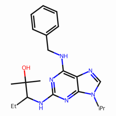 CCC(Nc1nc(NCc2ccccc2)c2ncn(C(C)C)c2n1)C(C)(C)O